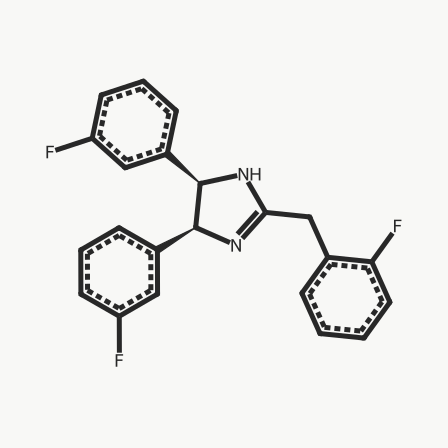 Fc1cccc([C@H]2NC(Cc3ccccc3F)=N[C@H]2c2cccc(F)c2)c1